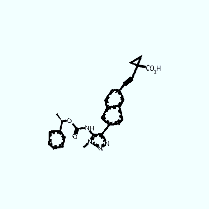 C[C@@H](OC(=O)Nc1c(-c2ccc3cc(C#CC4(C(=O)O)CC4)ccc3c2)nnn1C)c1ccccc1